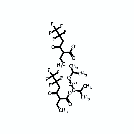 CC(C)[O][Zr+2][O]C(C)C.CCC(C(=O)[O-])C(=O)CC(F)(F)C(F)(F)F.CCC(C(=O)[O-])C(=O)CC(F)(F)C(F)(F)F